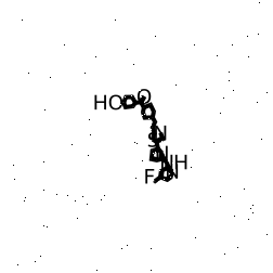 O=C(C1CCC(O)CC1)C1CCC(CCc2ncc(-c3cccc(Nc4cc(CF)ccn4)n3)s2)CC1